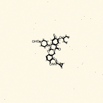 COc1cccc(Cn2c(=O)c3cc(OC(CF)CF)c(F)cc3n(C3CCN(C=O)CC3)c2=O)c1OCC1CC1